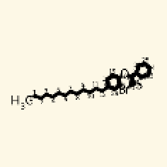 CCCCCCCCCCCCCc1ccc(Oc2c(Br)sc3ccccc23)cc1